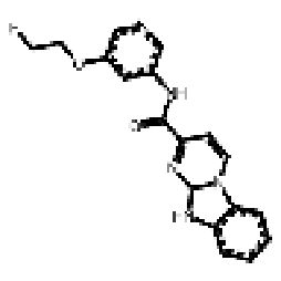 O=C(Nc1cncc(OCCF)c1)C1=NC2Nc3ccccc3N2C=C1